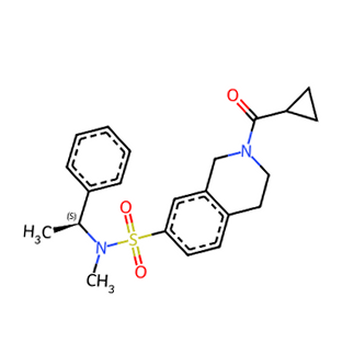 C[C@@H](c1ccccc1)N(C)S(=O)(=O)c1ccc2c(c1)CN(C(=O)C1CC1)CC2